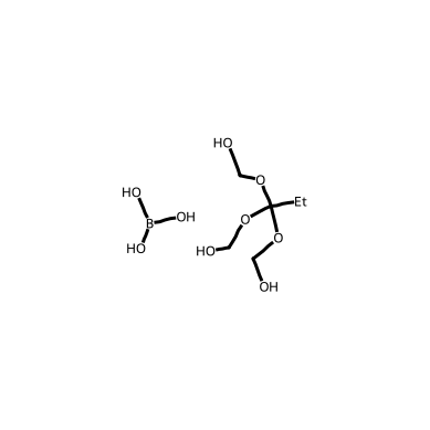 CCC(OCO)(OCO)OCO.OB(O)O